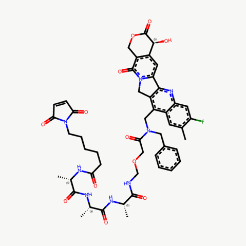 Cc1cc2c(CN(Cc3ccccc3)C(=O)COCNC(=O)[C@H](C)NC(=O)[C@H](C)NC(=O)[C@H](C)NC(=O)CCCCCN3C(=O)C=CC3=O)c3c(nc2cc1F)-c1cc2c(c(=O)n1C3)COC(=O)[C@H]2O